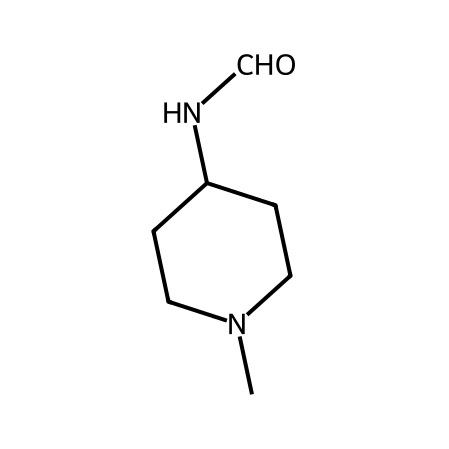 CN1CCC(NC=O)CC1